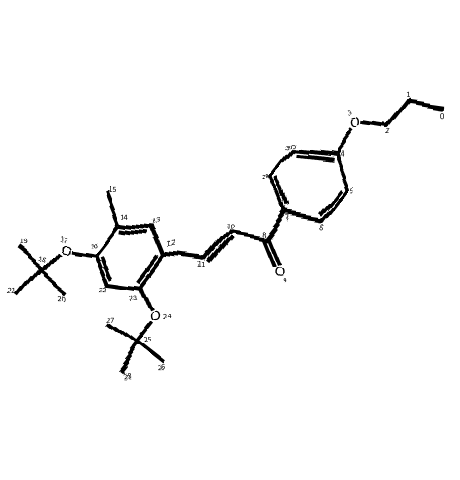 CCCOc1ccc(C(=O)/C=C/c2cc(C)c(OC(C)(C)C)cc2OC(C)(C)C)cc1